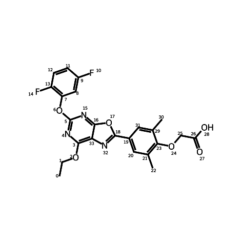 CCOc1nc(Oc2cc(F)ccc2F)nc2oc(-c3cc(C)c(OCC(=O)O)c(C)c3)nc12